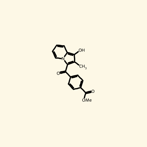 COC(=O)c1ccc(C(=O)c2c(C)c(O)c3ccccn23)cc1